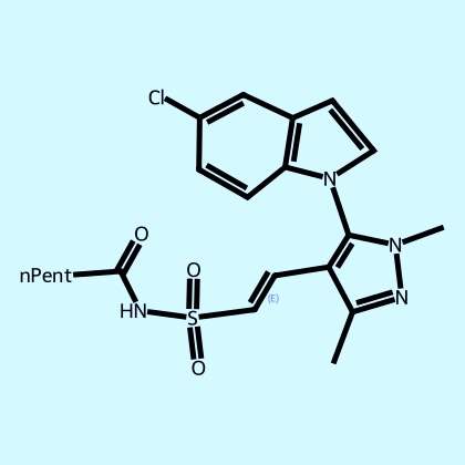 CCCCCC(=O)NS(=O)(=O)/C=C/c1c(C)nn(C)c1-n1ccc2cc(Cl)ccc21